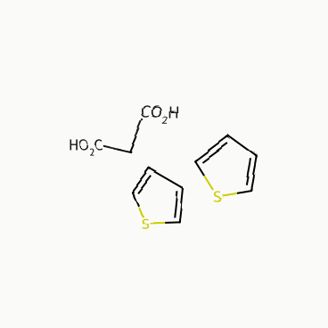 O=C(O)CC(=O)O.c1ccsc1.c1ccsc1